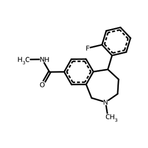 CNC(=O)c1ccc2c(c1)CN(C)CCC2c1ccccc1F